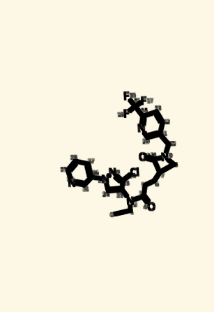 CCN(C(=O)CCC1CN(Cc2ccc(C(F)(F)F)nc2)C1=O)c1cn(-c2cccnc2)nc1Cl